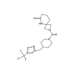 O=C1CCCC2(CN(C(=O)N3CCC(Cn4cc(C(F)(F)F)cn4)CC3)C2)N1